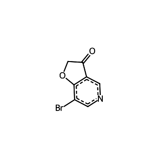 O=C1COc2c(Br)cncc21